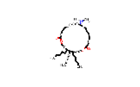 C=C=C=C=C1C(CCCCC)CCOC(=O)CCCCCCCC(N(C)C)CCCCCCCC(=O)OCCC1CCCCC